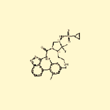 O=C(Nc1noc2cccc(-c3c(F)cc(F)cc3F)c12)N1C[C@@H](NS(=O)(=O)C2CC2)C(F)(F)[C@H]1CCO